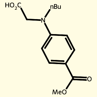 CCCCN(CC(=O)O)c1ccc(C(=O)OC)cc1